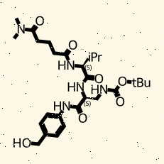 CC(C)[C@H](NC(=O)CCCC(=O)N(C)C)C(=O)N[C@@H](CNC(=O)OC(C)(C)C)C(=O)Nc1ccc(CO)cc1